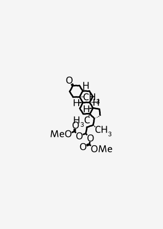 COC(=O)OC(C[C@@H](C)[C@H]1CC[C@H]2[C@@H]3CC[C@@H]4CC(=O)CC[C@]4(C)[C@H]3CC[C@]12C)OC(=O)OC